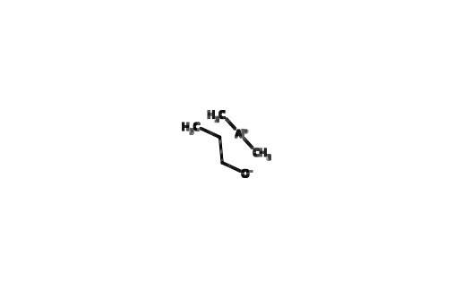 CCC[O-].[CH3][Al+][CH3]